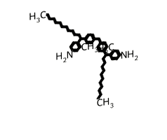 CCCCCCCCCCCCC(c1ccc(Cc2ccc(C(CCCCCCCCCCCC)c3ccc(N)cc3C)cc2)cc1)c1ccc(N)cc1C